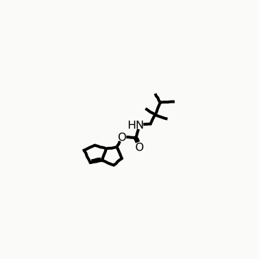 CC(C)C(C)(C)CNC(=O)OC1CCC2=CCCC21